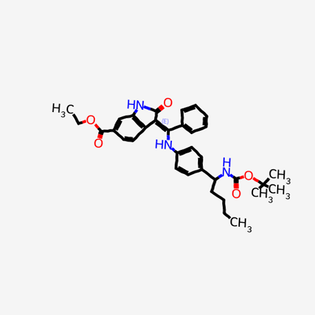 CCCCC(NC(=O)OC(C)(C)C)c1ccc(N/C(=C2/C(=O)Nc3cc(C(=O)OCC)ccc32)c2ccccc2)cc1